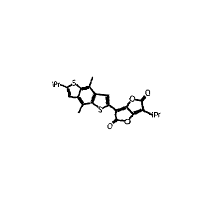 Cc1c2cc(C(C)C)sc2c(C)c2cc(C3=C4OC(=O)C(C(C)C)=C4OC3=O)sc12